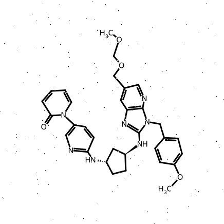 COCOCc1cnc2c(c1)nc(N[C@H]1CC[C@H](Nc3ccc(-n4ccccc4=O)cn3)C1)n2Cc1ccc(OC)cc1